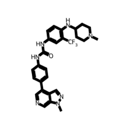 CN1CCC(Nc2ccc(NC(=O)Nc3ccc(-c4cncc5c4cnn5C)cc3)cc2C(F)(F)F)CC1